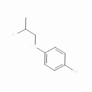 CC(O)CNc1[c]cc(N)cc1